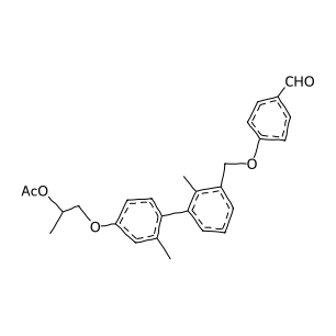 CC(=O)OC(C)COc1ccc(-c2cccc(COc3ccc(C=O)cc3)c2C)c(C)c1